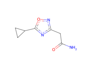 NC(=O)Cc1noc(C2CC2)n1